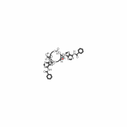 O=C(Nc1ncnc2c1ncn2[C@@H]1O[C@@H]2CO[P@](=O)(S)O[C@H]3[C@H]4OC[C@]3(CO[PH](=O)O[C@@H]1[C@@H]2O)O[C@H]4n1cnc2c(NC(=O)c3ccccc3)ncnc21)c1ccccc1